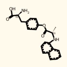 C[C@H](Nc1cccc2ccccc12)C(=O)Oc1ccc(C[C@H](N)C(=O)O)cc1